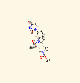 CC(C)(C)OC(=O)N1CCC(c2cc3ccc(N4CCC(=O)NC4=O)cc3n2C(=O)OC(C)(C)C)CC1